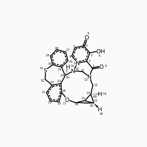 O=C1c2c(O)c(=O)ccn2N2CN1C[C@@H]1C3C(Oc4cccc5c4[C@H]2c2ccccc2SC5)[C@H]31